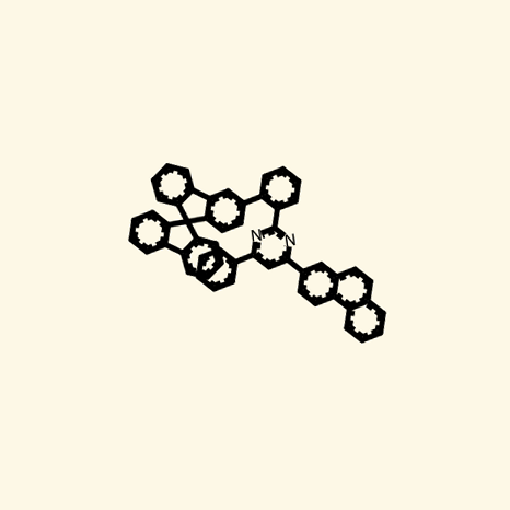 c1ccc(-c2cc(-c3ccc4c(ccc5ccccc54)c3)nc(-c3ccccc3-c3ccc4c(c3)-c3ccccc3C43c4ccccc4-c4ccccc43)n2)cc1